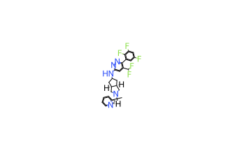 [2H]C(C)(c1ccccn1)N1C[C@H]2CC(Nc3cc(C(F)F)c(-c4cc(F)cc(F)c4F)nn3)C[C@H]2C1